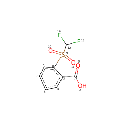 O=C(O)c1ccccc1S(=O)(=O)C(F)F